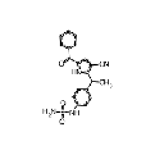 CC(c1ccc(NS(N)(=O)=O)cc1)c1[nH]c(C(=O)c2ccccc2)cc1C#N